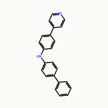 c1ccc(-c2ccc(Nc3ccc(-c4ccncc4)cc3)cc2)cc1